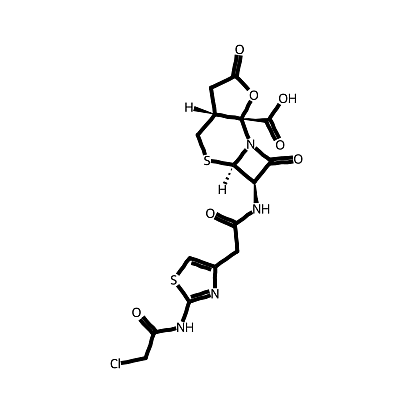 O=C(CCl)Nc1nc(CC(=O)N[C@@H]2C(=O)N3[C@@H]2SC[C@@H]2CC(=O)O[C@@]23C(=O)O)cs1